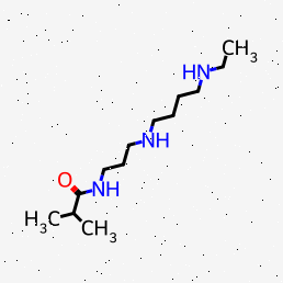 CCNCCCCNCCCNC(=O)C(C)C